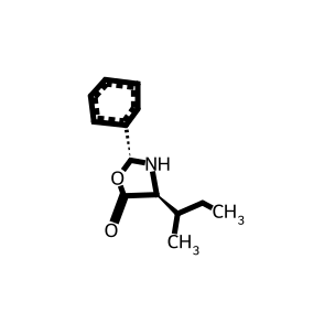 CCC(C)[C@@H]1N[C@@H](c2ccccc2)OC1=O